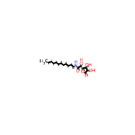 CCCCCCCCCCCCNC(=O)C(O)[C@H]1OC(=O)[C@@H](O)[C@H]1O